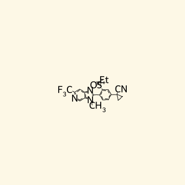 CC[S@+]([O-])c1cc(C2(C#N)CC2)ccc1-c1nc2cc(C(F)(F)F)ncc2n1C